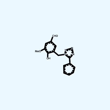 COc1cc(C=O)cc(Cn2nnnc2-c2ccccc2)c1O